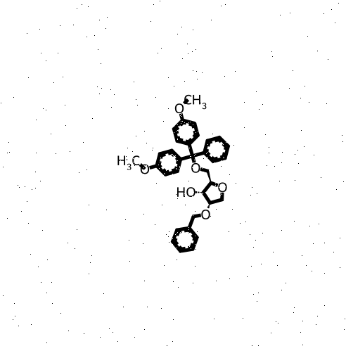 COc1ccc(C(OC[C@H]2OC[C@H](OCc3ccccc3)[C@@H]2O)(c2ccccc2)c2ccc(OC)cc2)cc1